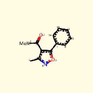 CNC(=O)c1c(C)noc1-c1ccccc1